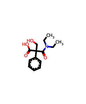 CCN(CC)C(=O)C(CO)(C(=O)O)c1ccccc1